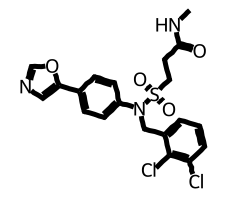 CNC(=O)CCS(=O)(=O)N(Cc1cccc(Cl)c1Cl)c1ccc(-c2cnco2)cc1